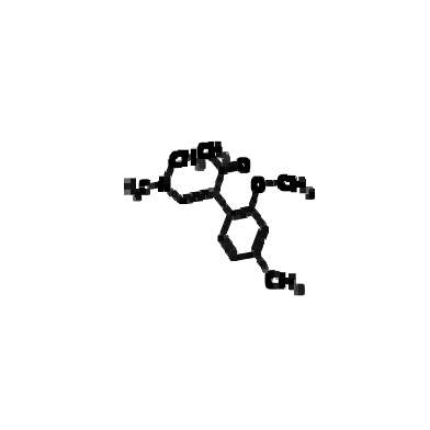 COc1cc(C)ccc1/C(=C/N(C)C)C(C)=O